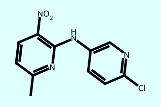 Cc1ccc([N+](=O)[O-])c(Nc2ccc(Cl)nc2)n1